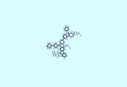 CC1C=Cc2c(n(-c3ccccc3)c3ccc(C4=CC=C(N(c5ccc(-c6cccnc6)cc5)c5ccc6c(c5)C(C)(C)c5ccccc5-6)C(C)C4)cc23)C1